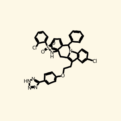 O=S(=O)(NCCc1c(CCOc2ccc(-c3nn[nH]n3)cc2)c2cc(Cl)ccc2n1C(c1ccccc1)c1ccccc1)c1ccccc1Cl